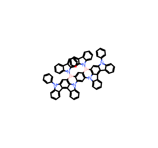 c1ccc(-n2c3ccccc3c3c4c5ccccc5n5c4c(cc32)B(n2c3ccccc3c3ccccc32)c2cc3c(cc2-5)-n2c4ccccc4c4c5c6ccccc6n(-c6ccccc6)c5cc(c42)B3n2c3ccccc3c3ccccc32)cc1